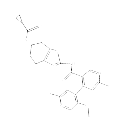 COc1cnc(Cl)cc1-c1cc(C)ncc1C(=O)Nc1nc2c(s1)C[C@@H](NC(=O)C1CC1)CC2